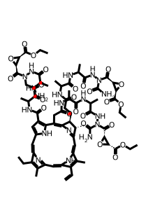 C=Cc1c(C)c2cc3nc(c(CC(=O)NC(C)C(=O)NC(C)C(=O)NN(C(N)=O)C(=O)[C@H]4O[C@H]4C(=O)OCC)c4[nH]c(cc5nc(cc1[nH]2)C(C)=C5CC)cc4C(=O)NC(C)C(=O)NC(C)C(=O)NN(CC(N)=O)C(=O)[C@H]1O[C@H]1C(=O)OCC)[C@@H](CCC(=O)NC(C)C(=O)NC(C)C(=O)NN(C(N)=O)C(=O)[C@H]1O[C@H]1C(=O)OCC)[C@@H]3C